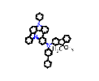 CC1(C)c2ccccc2-c2ccc(N(c3ccc(-c4ccccc4)cc3)c3ccc4c(c3)c3cccc5c3c3c(ccc6c7ccccc7n4c63)n5-c3ccccc3)cc21